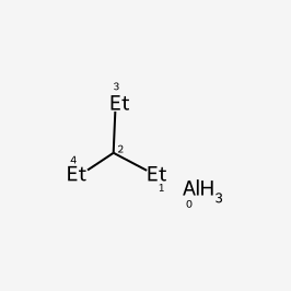 [AlH3].[CH2]CC(CC)CC